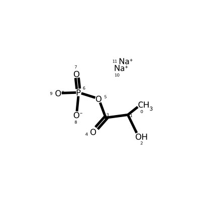 CC(O)C(=O)OP(=O)([O-])[O-].[Na+].[Na+]